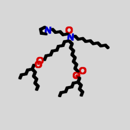 CCCCCCCCCCN(C(=O)CCCCN1CCCC1)C(CCCCCCCCOOCC(CCCC)CCCCCC)CCCCCCCCC(=O)OCC(CCCC)CCCCCC